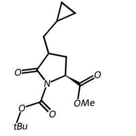 COC(=O)[C@@H]1CC(CC2CC2)C(=O)N1C(=O)OC(C)(C)C